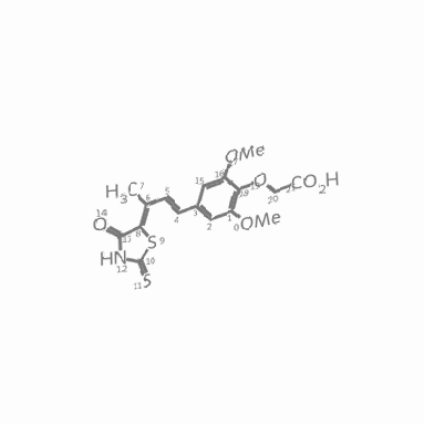 COc1cc(C=CC(C)=C2SC(=S)NC2=O)cc(OC)c1OCC(=O)O